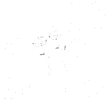 CCCCCN(C(=O)O)C(=O)OC12CC3CC(CC(C3)C1)C2.CCCCCNC(=O)OC12CC3CC(CC(C3)C1)C2